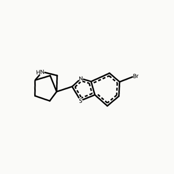 Brc1ccc2sc(C34CCC(C3)NC4)nc2c1